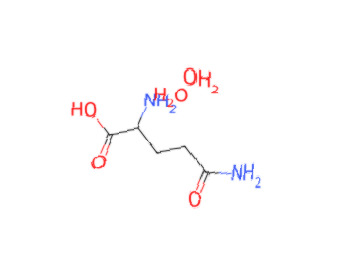 NC(=O)CCC(N)C(=O)O.O.O